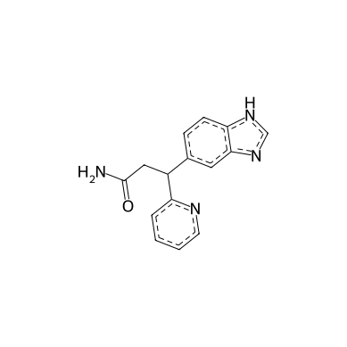 NC(=O)CC(c1ccc2[nH]cnc2c1)c1ccccn1